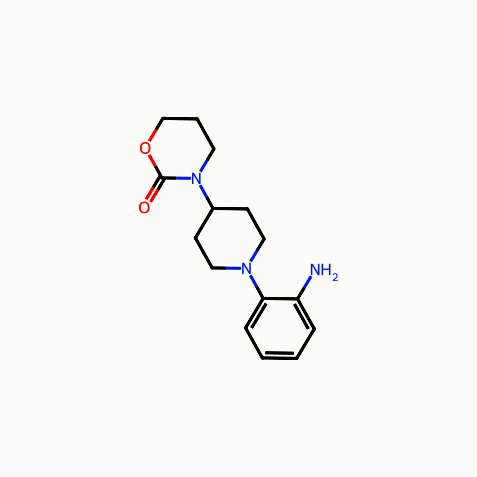 Nc1ccccc1N1CCC(N2CCCOC2=O)CC1